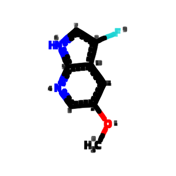 COc1cnc2[nH]cc(F)c2c1